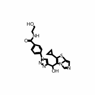 O=C(NCCO)c1ccc(-n2cc(C(O)c3c(C4CC4)sc4cncn34)nn2)cc1